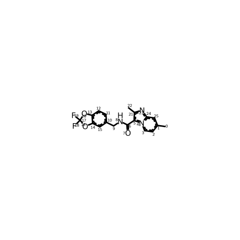 Cc1ccn2c(C(=O)NCc3ccc4c(c3)OC(F)(F)O4)c(C)nc2c1